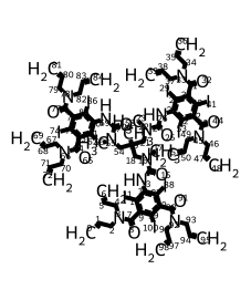 C=CCN(CC=C)C(=O)c1c(I)c(NC(=O)N(C)CC(C)(CN(C)C(=O)Nc2c(I)c(C(=O)N(CC=C)CC=C)c(I)c(C(=O)N(CC=C)CC=C)c2I)CN(C)C(=O)Nc2c(I)c(C(=O)N(CC=C)CC=C)c(I)c(C(=O)N(CC=C)CC=C)c2I)c(I)c(C(=O)N(CC=C)CC=C)c1I